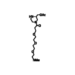 CNCCOCCOCCOCCC(=O)N1CCNC(COC(C)=O)C1